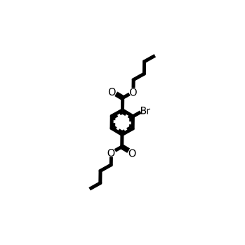 CCCCOC(=O)c1ccc(C(=O)OCCCC)c(Br)c1